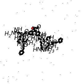 CC[C@H](C)[C@H](NC(=O)OCc1ccccc1)C(=O)N1CCC[C@H]1C(=O)N[C@@H](CCCNC(=N)N)C(=O)Nc1ccc2c(c1)Oc1cc(NC(=O)[C@H](CCCNC(=N)N)NC(=O)[C@@H]3CCCN3C(=O)[C@@H](NC(=O)OCc3ccccc3)[C@@H](C)CC)ccc1C21OC(=O)c2ccccc21